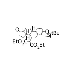 CCOC(=O)C(C(=O)OCC)[C@@H]1Cc2cc(O[Si](C)(C)C(C)(C)C)ccc2[C@H]2CC[C@]3(C)C(=O)CC[C@H]3[C@@H]21